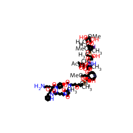 COC(=O)CC1=C2/C(=C/CSSC(C)(C)CCC(=O)CCCNC(=O)OCc3ccc(NC(=O)[C@H](CCCCN)CC(=O)[C@H](Cc4ccccc4)NC(=O)CCCCCN4C(=O)CC(C)C4=O)cc3)[C@](O)(C#C/C=C\C#C[C@@H]2OC2OC(C)C(NOC3CC(O)C(SC(=O)c4c(C)c(I)c(OC5OC(C)C(O)C(OC)C5O)c(C)c4OC)C(C)O3)C(O)C2OC2CC(C)C(CC(C)=O)CO2)CC1=O